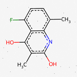 Cc1c(O)nc2c(C)ccc(F)c2c1O